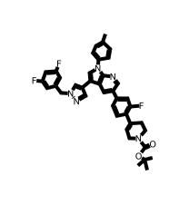 Cc1ccc(-n2cc(-c3cnn(Cc4cc(F)cc(F)c4)c3)c3cc(-c4ccc(C5=CCN(C(=O)OC(C)(C)C)CC5)c(F)c4)cnc32)cc1